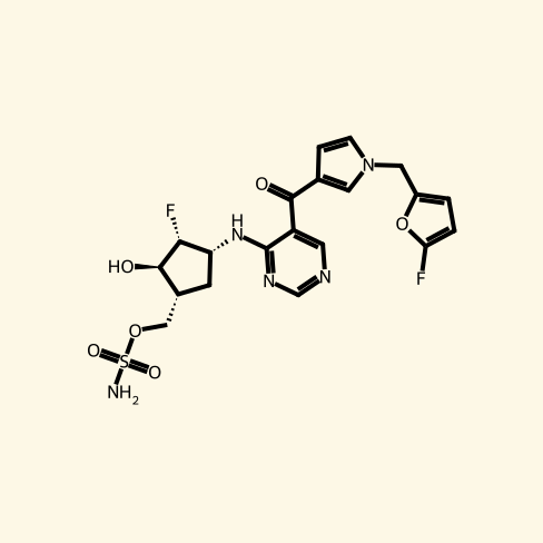 NS(=O)(=O)OC[C@H]1C[C@@H](Nc2ncncc2C(=O)c2ccn(Cc3ccc(F)o3)c2)[C@@H](F)[C@@H]1O